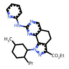 CCOC(=O)c1nn(C2CC(C)CCC2C(C)C)c2c1CCc1cnc(Nc3ccccn3)nc1-2